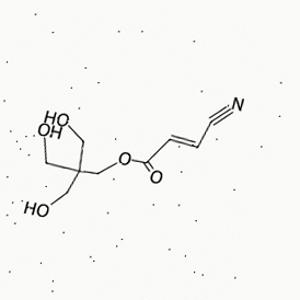 N#CC=CC(=O)OCC(CO)(CO)CO